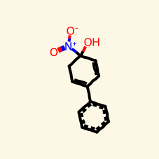 O=[N+]([O-])C1(O)C=CC(c2ccccc2)=CC1